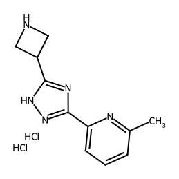 Cc1cccc(-c2n[nH]c(C3CNC3)n2)n1.Cl.Cl